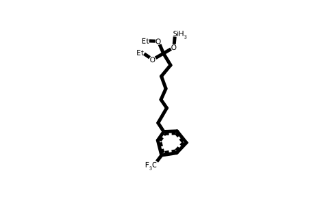 CCOC(CCCCCCc1cccc(C(F)(F)F)c1)(O[SiH3])OCC